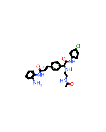 CC(=O)NCCNC(C(=O)Nc1ccc(Cl)cc1)c1ccc(/C=C/C(=O)Nc2ccccc2N)cc1